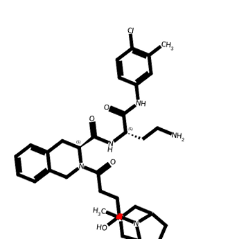 Cc1cc(NC(=O)[C@H](CCN)NC(=O)[C@@H]2Cc3ccccc3CN2C(=O)CCC(O)N2C3CCC2CN(C)C3)ccc1Cl